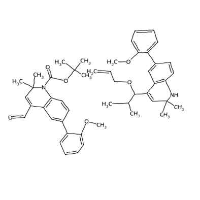 C=CCOC(C1=CC(C)(C)Nc2ccc(-c3ccccc3OC)cc21)C(C)C.COc1ccccc1-c1ccc2c(c1)C(C=O)=CC(C)(C)N2C(=O)OC(C)(C)C